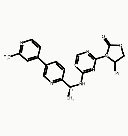 CC(C)C1COC(=O)N1c1ncnc(N[C@@H](C)c2ccc(-c3ccnc(C(F)(F)F)c3)cn2)n1